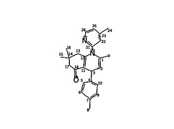 CC1=[C]C(c2ccc(C)cc2)C2=C(CC(C)(C)CC2=O)N1c1cc(C)ccn1